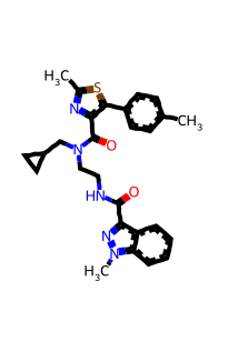 Cc1ccc(-c2sc(C)nc2C(=O)N(CCNC(=O)c2nn(C)c3ccccc23)CC2CC2)cc1